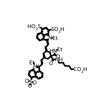 CCNC(=O)C1(C(=O)NCCCCCC(=O)O)CC(/C=C/C2=[N+](CC)c3ccc(S(=O)(=O)[O-])c4cccc2c34)=CC(=C/C=c2\c3cccc4c(S(=O)(=O)O)cc(S(=O)(=O)O)c(c43)n2CC)/C1